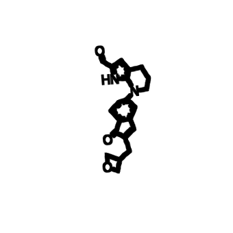 O=Cc1cc2c([nH]1)N(c1ccc3c(c1)C=C(CC1COC1)C3=O)CCC2